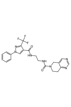 O=C(NCCNC(=O)N1CCc2ncncc2C1)c1cn(-c2ccccc2)nc1C(F)(F)F